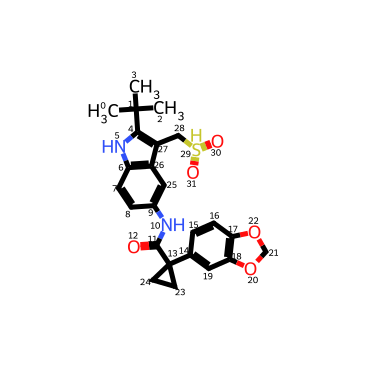 CC(C)(C)c1[nH]c2ccc(NC(=O)C3(c4ccc5c(c4)OCO5)CC3)cc2c1C[SH](=O)=O